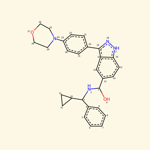 OC(NC(c1ccccc1)C1CC1)c1ccc2[nH]nc(-c3ccc(N4CCOCC4)cc3)c2c1